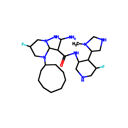 CN1CNCC1C1C(F)CNCC1NC(=O)C1C(N)NN2CC(F)CN(C3CCCCCCCC3)C12